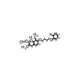 Cc1c(OCCCCOc2cccnc2I)ccc(CC(C)CC=O)c1O